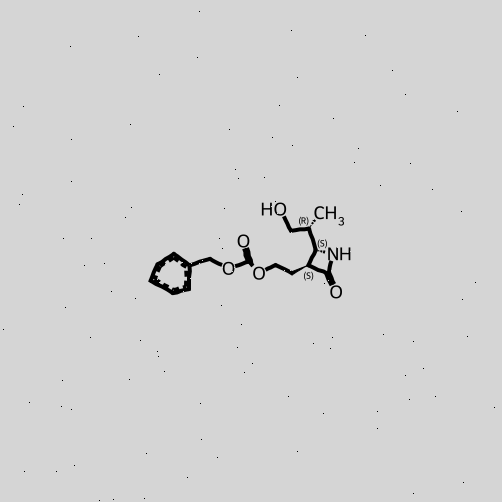 C[C@@H](CO)[C@@H]1NC(=O)[C@H]1CCOC(=O)OCc1ccccc1